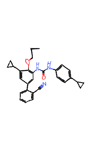 CCCOc1c(NC(=O)Nc2ccc(C3CC3)cc2)cc(-c2ccccc2C#N)cc1C1CC1